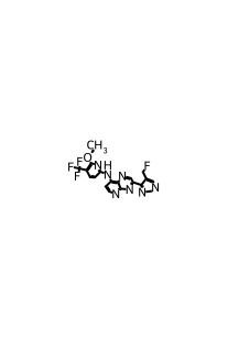 CCOc1nc(Nc2ccnc3nc(-c4ncncc4CF)cnc23)ccc1C(F)(F)F